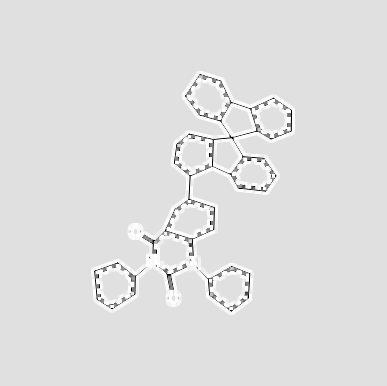 O=c1c2cc(-c3cccc4c3-c3ccccc3C43c4ccccc4-c4ccccc43)ccc2n(-c2ccccc2)c(=O)n1-c1ccccc1